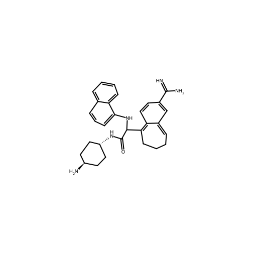 N=C(N)c1ccc2c(c1)=CCCCC=2C(Nc1cccc2ccccc12)C(=O)N[C@H]1CC[C@H](N)CC1